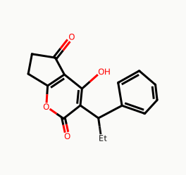 CCC(c1ccccc1)c1c(O)c2c(oc1=O)CCC2=O